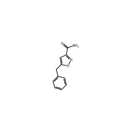 NC(=O)c1cc(Cc2ccccc2)on1